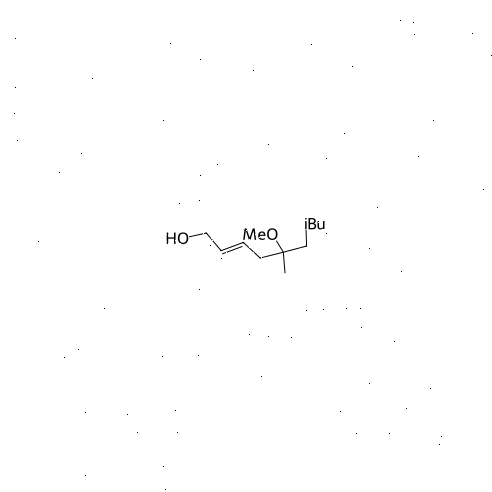 CCC(C)CC(C)(CC=CCO)OC